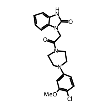 COc1cc(N2CCN(C(=O)Cn3c(=O)[nH]c4ccccc43)CC2)ccc1Cl